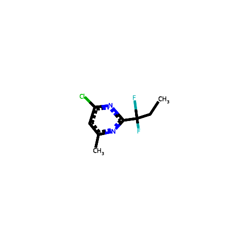 CCC(F)(F)c1nc(C)cc(Cl)n1